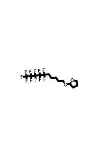 FC(F)(F)C(F)(F)C(F)(F)C(F)(F)C(F)(F)CCCCCOC1CCCO1